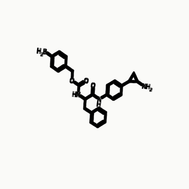 Bc1ccc(COC(=O)NC(Cc2ccccc2)C(=O)Nc2ccc(C3CC3N)cc2)cc1